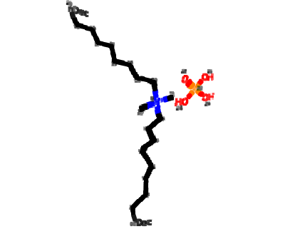 CCCCCCCCCCCCCCCCCC[N+](C)(C)CCCCCCCCCCCCCCCCCC.O=P(O)(O)O